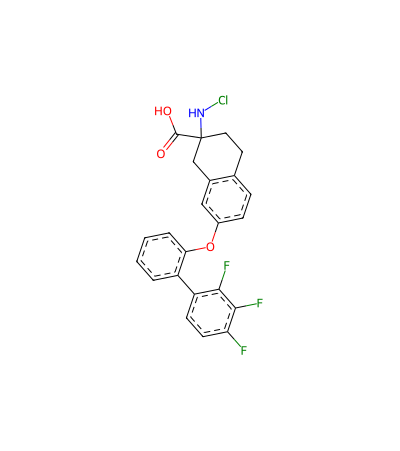 O=C(O)C1(NCl)CCc2ccc(Oc3ccccc3-c3ccc(F)c(F)c3F)cc2C1